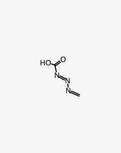 C=NN=NC(=O)O